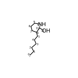 [CH2]CCCCCC1CCCNC1O